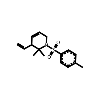 C=CC1C=CCN(S(=O)(=O)c2ccc(C)cc2)C1(C)C